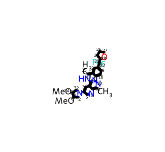 CO[C@H]1CN(c2cnc3c(C)nnc(N[C@H](C)c4cccc(C(F)(F)C5CCCO5)c4)c3c2)C[C@H]1OC